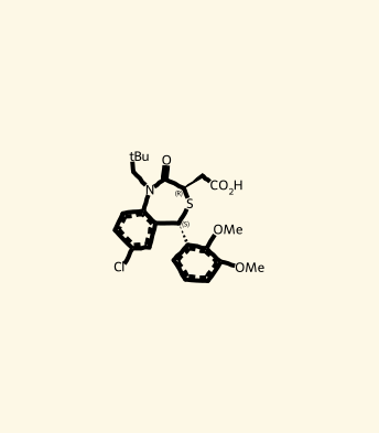 COc1cccc([C@H]2S[C@H](CC(=O)O)C(=O)N(CC(C)(C)C)c3ccc(Cl)cc32)c1OC